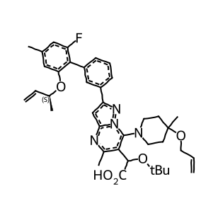 C=CCOC1(C)CCN(c2c(C(OC(C)(C)C)C(=O)O)c(C)nc3cc(-c4cccc(-c5c(F)cc(C)cc5O[C@@H](C)C=C)c4)nn23)CC1